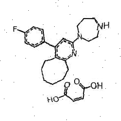 Fc1ccc(-c2cc(N3CCCNCC3)nc3c2CCCCCC3)cc1.O=C(O)/C=C\C(=O)O